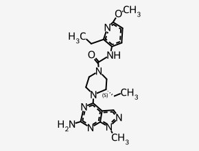 CCc1nc(OC)ccc1NC(=O)N1CCN(c2nc(N)nc3c2cnn3C)[C@@H](CC)C1